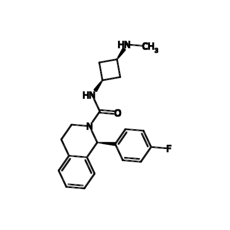 CN[C@H]1C[C@@H](NC(=O)N2CCc3ccccc3[C@@H]2c2ccc(F)cc2)C1